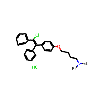 CCN(CC)CCCCOc1ccc(/C(=C(\Cl)c2ccccc2)c2ccccc2)cc1.Cl